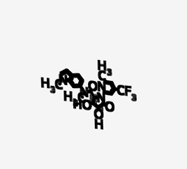 Cc1cc(C(F)(F)F)cc(N2C(=O)[C@@H](O)[C@@H](O)[C@H]2C(=O)N(C)c2ccc3ccn(C)c3c2)n1